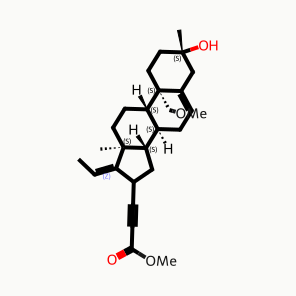 C/C=C1/C(C#CC(=O)OC)C[C@H]2[C@@H]3CC=C4C[C@@](C)(O)CC[C@]4(COC)[C@H]3CC[C@]12C